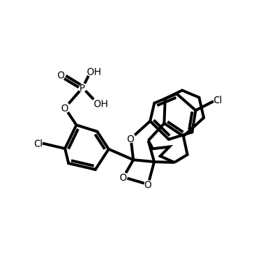 O=P(O)(O)Oc1cc(C2(Oc3ccc(Cl)cc3)OOC23C2CCCC3C3=C(CCCC3)C2)ccc1Cl